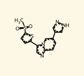 CS(=O)(=O)c1ccc(-c2cnc3ccc(-c4cn[nH]c4)cn23)s1